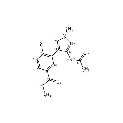 COC(=O)c1cnc(Cl)c(-c2cn(C)nc2NC(C)=O)c1